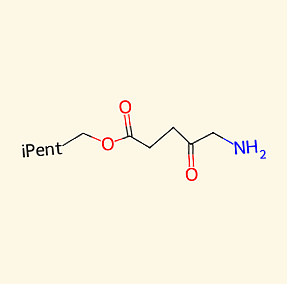 CCCC(C)COC(=O)CCC(=O)CN